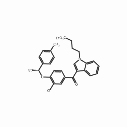 CCOC(=O)CCCn1cc(C(=O)c2ccc(O[C@@H](CC)c3ccc(C)cc3)c(Cl)c2)c2ccccc21